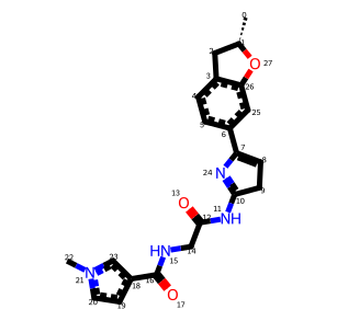 C[C@H]1Cc2ccc(C3=CCC(NC(=O)CNC(=O)c4ccn(C)c4)=N3)cc2O1